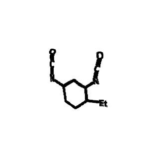 CCC1CCC(N=C=O)CC1N=C=O